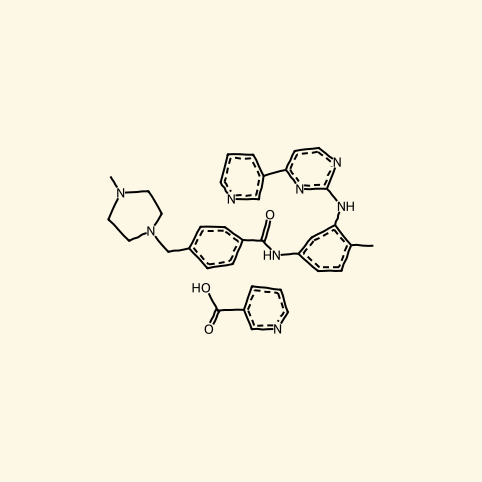 Cc1ccc(NC(=O)c2ccc(CN3CCN(C)CC3)cc2)cc1Nc1nccc(-c2cccnc2)n1.O=C(O)c1cccnc1